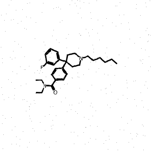 CCCCCCN1CCC(c2ccc(C(=O)N(CC)CC)cc2)(c2cccc(F)c2)CC1